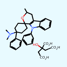 CC1Cc2c(n(-c3ccccc3)c3ccccc23)C2(CCC(c3ccccc3)(N(C)C)CC2)O1.O=C(O)CC(O)(CC(=O)O)C(=O)O